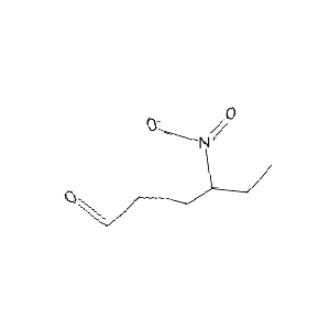 CCC(CCC=O)[N+](=O)[O-]